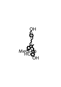 COc1ccc2c(c1)c(C=C1Oc3cc(O)cc(O)c3C1=O)c(C)n2CCCCN1CCN(CCO)CC1